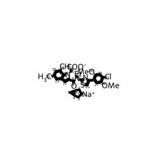 C1CC2CC2C1.CCN(C(=O)c1cc2cc(C)cc(C)c2n1CC(=O)[O-])c1nc(-c2cc(OC)c(Cl)cc2OC)cs1.[Na+]